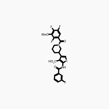 COc1c(F)c(F)cc(C(=O)N2CCCC(c3csc(NC(=O)c4cccc(F)c4)c3C(=O)O)C2)c1F